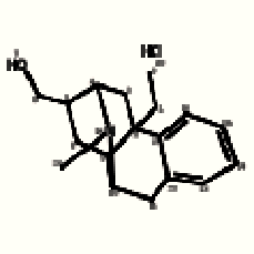 CCC12CC3C(CO)CC1C(Cc1ccccc12)N3C.Cl